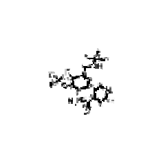 CC(C)(C)NCc1cccc(OC(F)(F)F)c1F.NC(=O)c1ccncc1